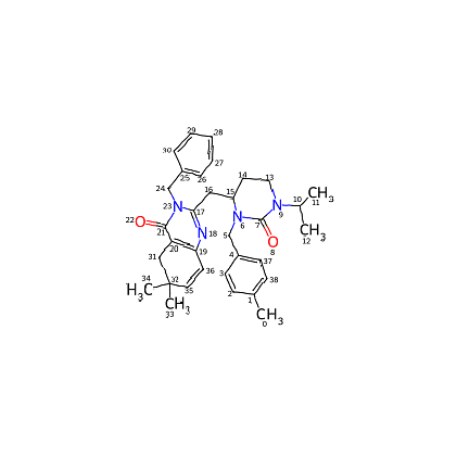 Cc1ccc(CN2C(=O)N(C(C)C)CCC2Cc2nc3c(c(=O)n2Cc2ccccc2)CC(C)(C)C=C3)cc1